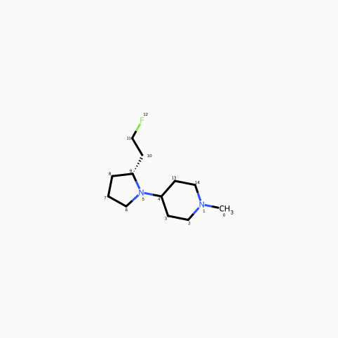 CN1CCC(N2CCC[C@@H]2CCF)CC1